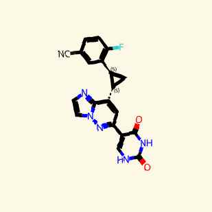 N#Cc1ccc(F)c([C@H]2C[C@@H]2c2cc(-c3c[nH]c(=O)[nH]c3=O)nn3ccnc23)c1